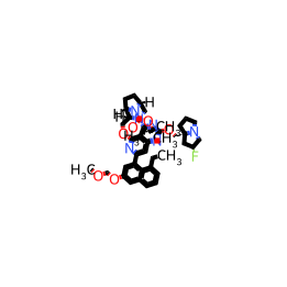 CCc1cccc2cc(OCOC)cc(-c3cc4nc(OC[C@]56CCCN5C[C@H](F)C6)nc5c4c(n3)OC[C@@H]3[C@@H]4CC[C@H](CN53)N4C(=O)OC(C)(C)C)c12